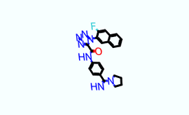 N=C(c1ccc(NC(=O)c2nnnn2-c2cc3ccccc3cc2F)cc1)N1CCCC1